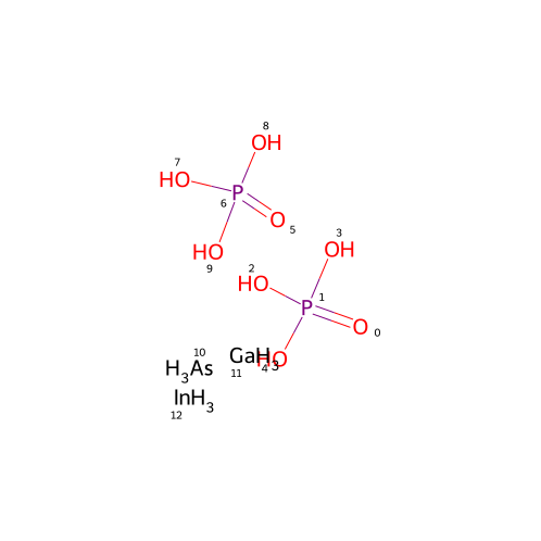 O=P(O)(O)O.O=P(O)(O)O.[AsH3].[GaH3].[InH3]